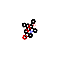 c1ccc(-c2ccccc2-c2c(-c3ccccc3)cccc2N(c2ccc3c(ccc4ccccc43)c2)c2ccccc2-c2cccc3c2oc2ccccc23)cc1